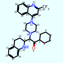 O=C(C1CCCCC1)C(C1CCc2ccccc2N1)N1CCN(c2cc(C(F)(F)F)nc3ccccc23)CC1